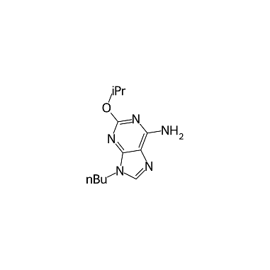 [CH2]CCCn1cnc2c(N)nc(OC(C)C)nc21